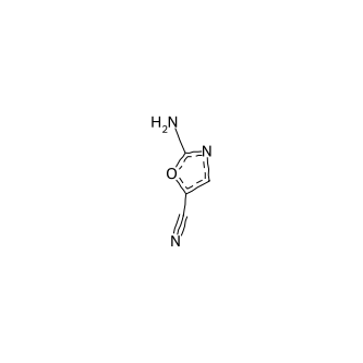 N#Cc1cnc(N)o1